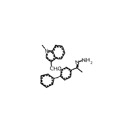 CC(=NN)c1ccc(-c2ccccc2)cc1.Cn1cc(C=O)c2ccccc21